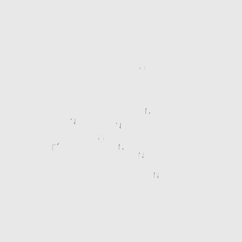 COc1cc(N2CCc3c(nc(OC[C@@H]4C[C@@H](F)CN4C)nc3N3CCN(C)CC3)C2)c2ccccc2c1